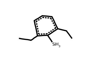 CCc1cccc(CC)c1[SiH3]